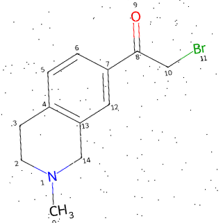 CN1CCc2ccc(C(=O)CBr)cc2C1